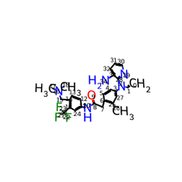 C=CN(c1ccc(CC(=O)Nc2ccc(CN(C)C)c(C(F)(F)F)c2)c(C)c1)c1ncccc1N